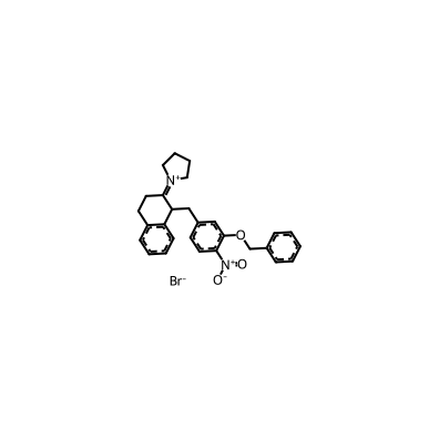 O=[N+]([O-])c1ccc(CC2C(=[N+]3CCCC3)CCc3ccccc32)cc1OCc1ccccc1.[Br-]